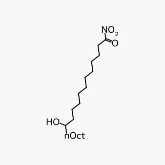 CCCCCCCCC(O)CCCCCCCCCCC(=O)[N+](=O)[O-]